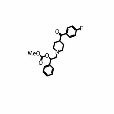 COC(=O)OC(CN1CCC(C(=O)c2ccc(F)cc2)CC1)c1ccccc1